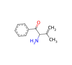 C=C(C)C(N)C(=O)c1ccccc1